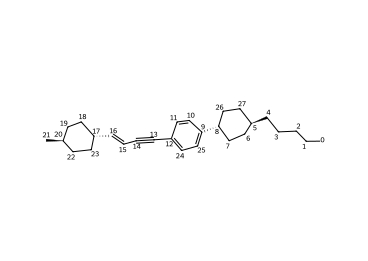 CCCCC[C@H]1CC[C@H](c2ccc(C#CC=C[C@H]3CC[C@H](C)CC3)cc2)CC1